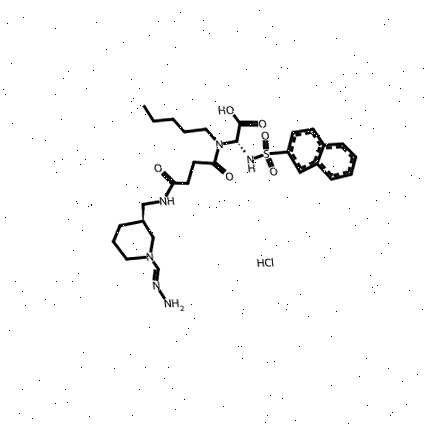 CCCCCN(C(=O)CCC(=O)NC[C@@H]1CCCN(C=NN)C1)[C@@H](NS(=O)(=O)c1ccc2ccccc2c1)C(=O)O.Cl